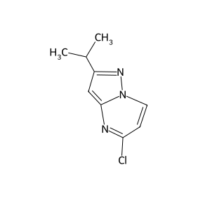 CC(C)c1cc2nc(Cl)ccn2n1